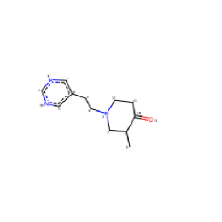 CC1CN(CCc2cncnc2)CCC1=O